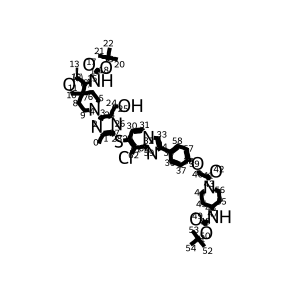 Cc1nc(N2CCC3(CC2)CO[C@@H](C)[C@H]3NC(=O)OC(C)(C)C)c(CO)nc1Sc1ccn2cc(-c3ccc(OCC(=O)N4CCC(NC(=O)OC(C)(C)C)CC4)cc3)nc2c1Cl